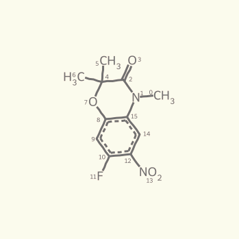 CN1C(=O)C(C)(C)Oc2cc(F)c([N+](=O)[O-])cc21